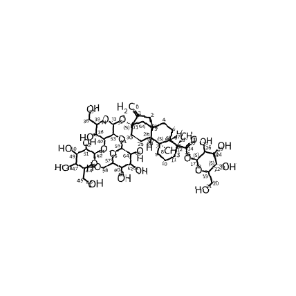 C=C1C[C@@]23CC[C@H]4[C@@](C)(CCC[C@@]4(C)C(=O)O[C@@H]4OC(CO)[C@@H](O)[C@H](O)C4O)[C@@H]2CC[C@]1(OC1OC(CO)C(O)C(OC2OC(CO)C(O)C(O)C2O)C1OC1OC(CO)C(O)C(O)C1O)C3